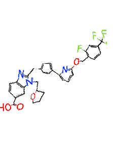 O=C(O)c1ccc2nc(Cc3ccc(-c4cccc(OCc5ccc(C(F)(F)F)cc5F)n4)cc3)n(CC3CCCO3)c2c1